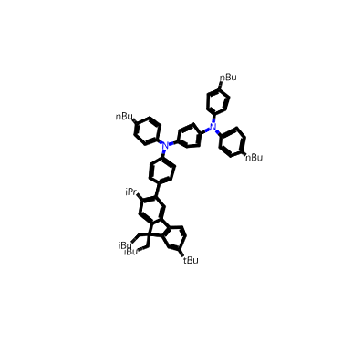 CCCCc1ccc(N(c2ccc(CCCC)cc2)c2ccc(N(c3ccc(CCCC)cc3)c3ccc(-c4cc5c(cc4C(C)C)C(CC(C)CC)(CC(C)CC)c4cc(C(C)(C)C)ccc4-5)cc3)cc2)cc1